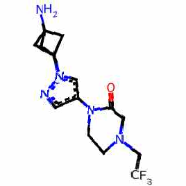 NC12CC(n3cc(N4CCN(CC(F)(F)F)CC4=O)cn3)(C1)C2